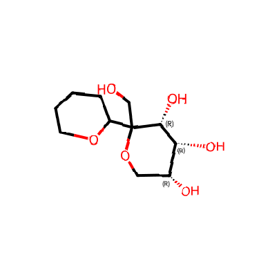 OCC1(C2CCCCO2)OC[C@@H](O)[C@@H](O)[C@H]1O